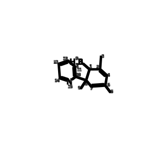 BC1C(C)=CC(C)=CC1(C)c1ccccn1